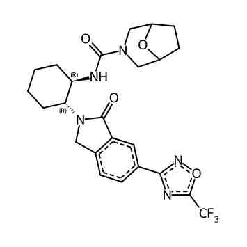 O=C(N[C@@H]1CCCC[C@H]1N1Cc2ccc(-c3noc(C(F)(F)F)n3)cc2C1=O)N1CC2CCC(C1)O2